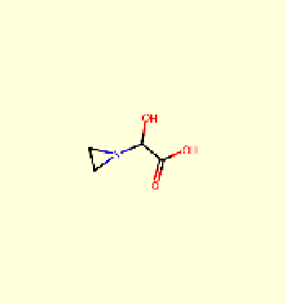 O=C(O)C(O)N1CC1